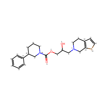 O=C(OCC(O)CN1CCc2ccsc2C1)N1CCCC(c2ccccc2)C1